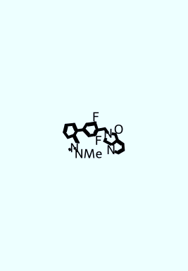 CNN(C)/C=C1\CC=CC=C1c1cc(F)c(CN2Cc3ncccc3C2=O)c(F)c1